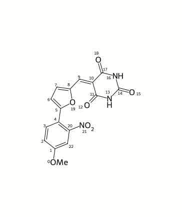 COc1ccc(-c2ccc(C=C3C(=O)NC(=O)NC3=O)o2)c([N+](=O)[O-])c1